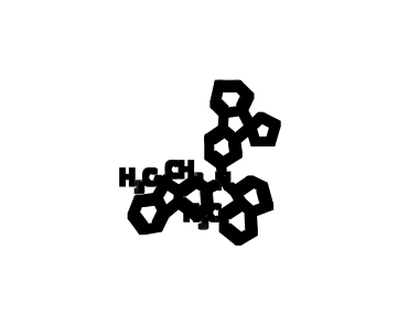 Cc1cccc2cccc(N(c3ccc4c(c3)C(C)(C)c3ccccc3-4)c3ccc4c(c3)C3(CCCC3)c3ccccc3-4)c12